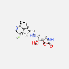 Cc1ncc(F)c2c1CC(CNCC(O)[C@H]1CNC(=O)O1)C2